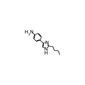 CCCCc1nc(-c2ccc(N)cc2)c[nH]1